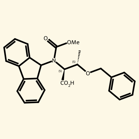 COC(=O)N(C1c2ccccc2-c2ccccc21)[C@H](C(=O)O)[C@H](C)OCc1ccccc1